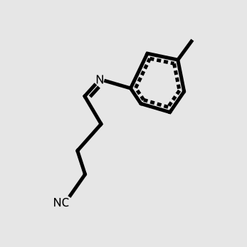 Cc1cccc(/N=C\CCCC#N)c1